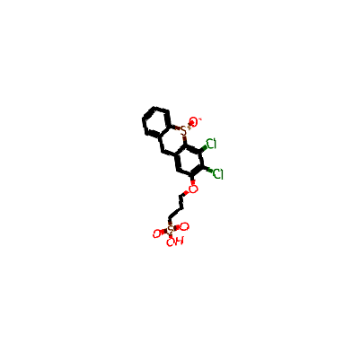 O=S(=O)(O)CCCOc1cc2c(c(Cl)c1Cl)[S+]([O-])c1ccccc1C2